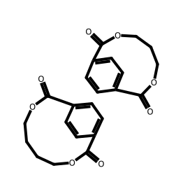 O=C1OCCCCOC(=O)c2ccc1cc2.O=C1OCCCOC(=O)c2ccc1cc2